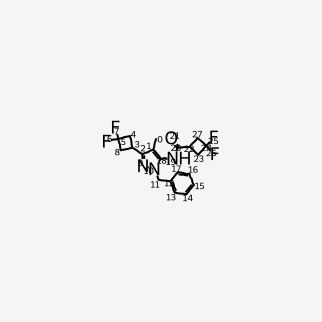 Cc1c(C2CC(F)(F)C2)nn(Cc2ccccc2)c1NC(=O)C1CC(F)(F)C1